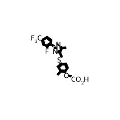 Cc1cc(SCc2nn(-c3ccc(C(F)(F)F)cc3F)nc2C)ccc1OCC(=O)O